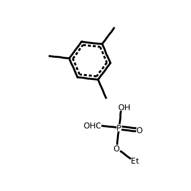 CCOP(=O)(O)C=O.Cc1cc(C)cc(C)c1